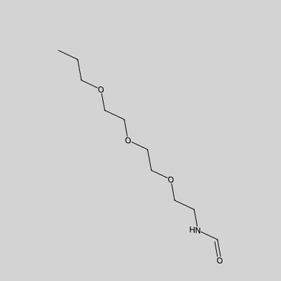 CCCOCCOCCOCCNC=O